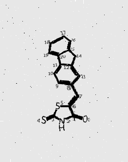 O=C1NC(=S)S/C1=C\c1ccc2c(c1)Cc1ccccc1-2